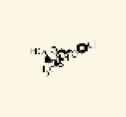 Cc1sc2nc(COc3ccc(Cl)cc3)cc(=O)n2c1[C@@H]1C[C@H]1CO